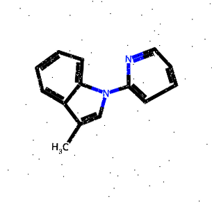 Cc1cn(-c2ccccn2)c2ccccc12